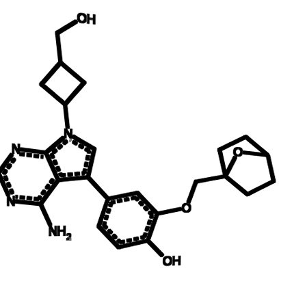 Nc1ncnc2c1c(-c1ccc(O)c(OCC34CCC(CC3)O4)c1)cn2C1CC(CO)C1